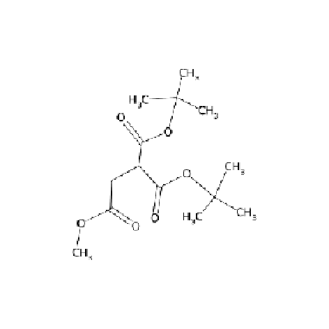 COC(=O)CC(C(=O)OC(C)(C)C)C(=O)OC(C)(C)C